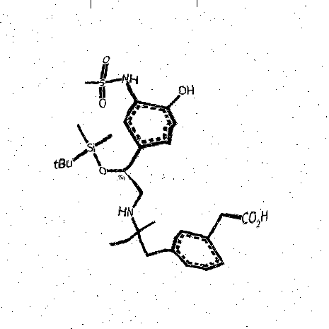 CC(C)(Cc1cccc(CC(=O)O)c1)NC[C@@H](O[Si](C)(C)C(C)(C)C)c1ccc(O)c(NS(C)(=O)=O)c1